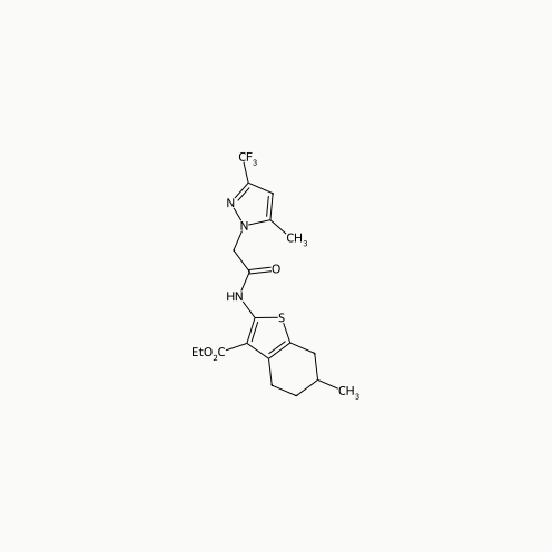 CCOC(=O)c1c(NC(=O)Cn2nc(C(F)(F)F)cc2C)sc2c1CCC(C)C2